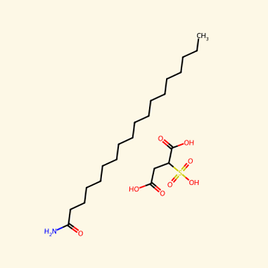 CCCCCCCCCCCCCCCCCC(N)=O.O=C(O)CC(C(=O)O)S(=O)(=O)O